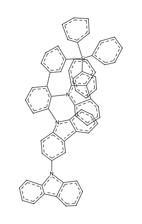 c1ccc([Si](c2ccccc2)(c2ccccc2)c2cccc(-c3cccc(-n4c5ccccc5c5cc(-n6c7ccccc7c7ccccc76)ccc54)c3-n3c4ccccc4c4ccccc43)c2)cc1